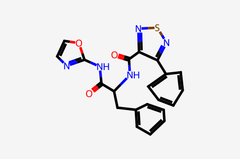 O=C(NC(Cc1ccccc1)C(=O)Nc1ncco1)c1nsnc1-c1ccccc1